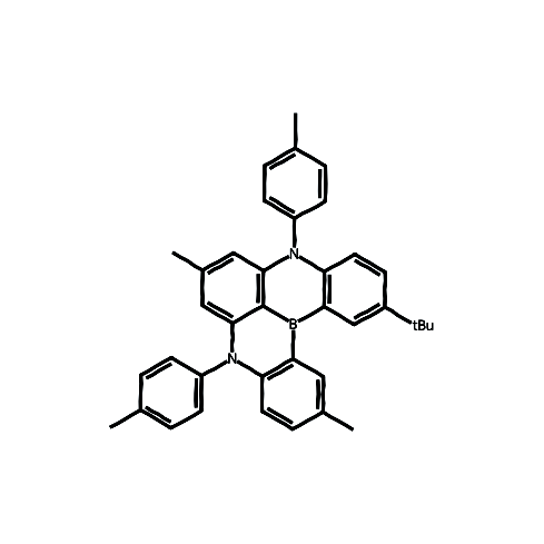 Cc1ccc(N2c3ccc(C)cc3B3c4cc(C(C)(C)C)ccc4N(c4ccc(C)cc4)c4cc(C)cc2c43)cc1